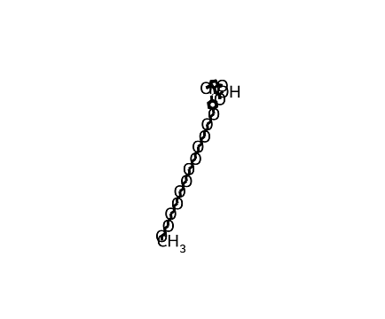 COCCOCCOCCOCCOCCOCCOCCOCCOCCOCCOCCOc1ccc(C[C@@H](C(=O)O)N2C(=O)C=CC2=O)cc1